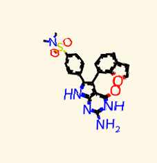 CN(C)S(=O)(=O)c1ccc(-c2[nH]c3nc(N)[nH]c(=O)c3c2-c2cccc3ccoc23)cc1